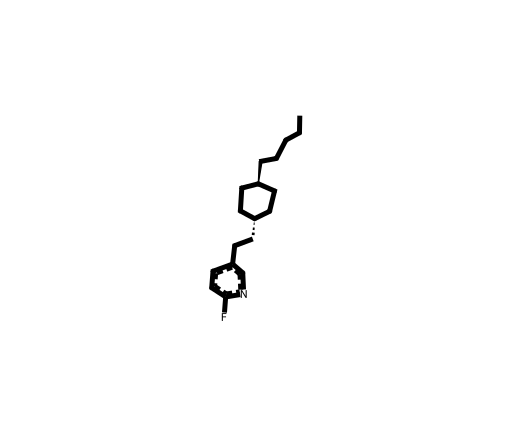 CCCCC[C@H]1CC[C@H](CCc2ccc(F)nc2)CC1